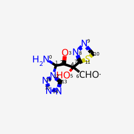 NC(C(=O)C(O)([C]=O)c1nncs1)n1cnnn1